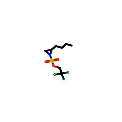 CCCCC1CN1S(=O)(=O)OCC(Cl)(Cl)Cl